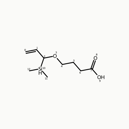 C=CC(OCCCC(=O)O)[SiH](C)C